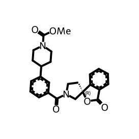 COC(=O)N1CCC(c2cccc(C(=O)N3CC[C@@]4(C3)OC(=O)c3ccccc34)c2)CC1